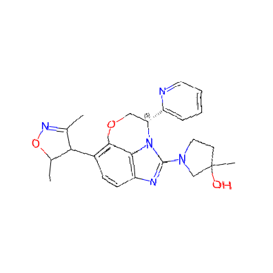 CC1=NOC(C)C1c1ccc2nc(N3CCC(C)(O)C3)n3c2c1OC[C@@H]3c1ccccn1